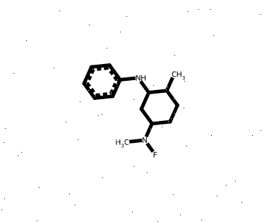 CC1CCC(N(C)F)CC1Nc1ccccc1